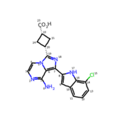 Nc1nccn2c1c(-c1cc3cccc(Cl)c3[nH]1)nc2[C@H]1C[C@@H](C(=O)O)C1